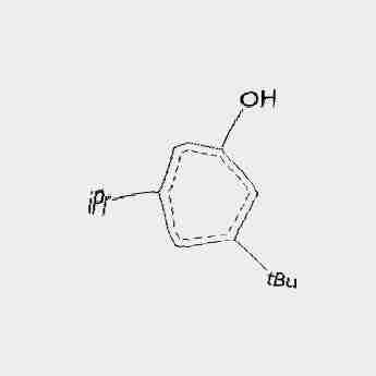 CC(C)c1cc(O)cc(C(C)(C)C)c1